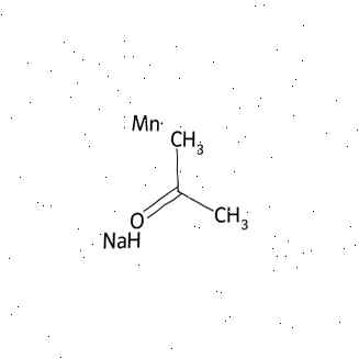 CC(C)=O.[Mn].[NaH]